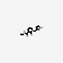 C=CNC(=O)c1cccn(Cc2cc[nH]n2)c1=O